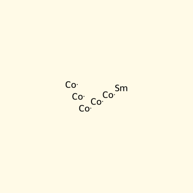 [Co].[Co].[Co].[Co].[Co].[Sm]